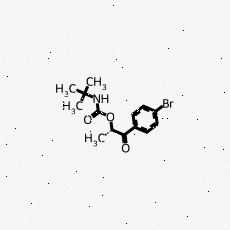 C[C@H](OC(=O)NC(C)(C)C)C(=O)c1ccc(Br)cc1